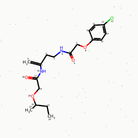 C=C(CCNC(=O)COc1ccc(Cl)cc1)NC(=O)COC(C)CC